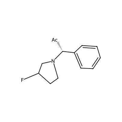 CC(=O)[C@H](c1ccccc1)N1CCC(F)C1